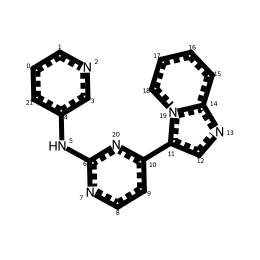 c1cncc(Nc2nccc(-c3cnc4ccccn34)n2)c1